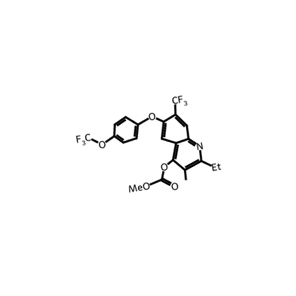 CCc1nc2cc(C(F)(F)F)c(Oc3ccc(OC(F)(F)F)cc3)cc2c(OC(=O)OC)c1C